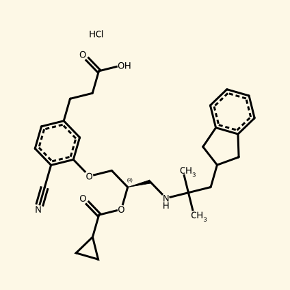 CC(C)(CC1Cc2ccccc2C1)NC[C@H](COc1cc(CCC(=O)O)ccc1C#N)OC(=O)C1CC1.Cl